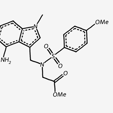 COC(=O)CN(Cc1cn(C)c2cccc(N)c12)S(=O)(=O)c1ccc(OC)cc1